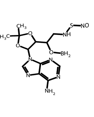 BOC(CNSN=O)C1OC(C)(C)OC1n1cnc2c(N)ncnc21